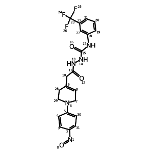 O=Nc1ccc(N2CC=C(CC(=O)NNC(=O)Nc3cccc(C(F)(F)F)c3)CC2)cc1